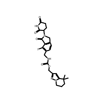 CC1(C)CCCn2nc(COC(=O)NCc3ccc4c(c3F)C(=O)N(C3CCC(=O)NC3=O)C4)cc21